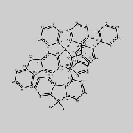 CC1(C)c2ccccc2-c2c(N(c3ccc(-c4ccccc4)cc3)c3cc4c(cc3C3(c5ccccc5)c5ccccc5-c5ccccc53)oc3ccccc34)cccc21